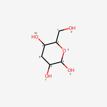 OCC1OC(O)C(O)CC1O